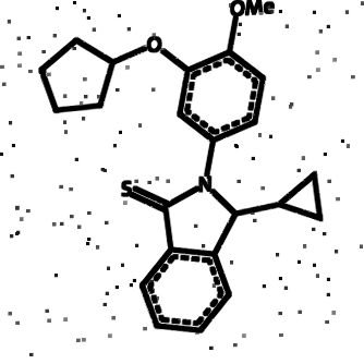 COc1ccc(N2C(=S)c3ccccc3C2C2CC2)cc1OC1CCCC1